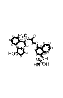 CN(C(=O)COc1ccc(NS(=N)(=O)O)c2ncccc12)C(CN1CC[C@H](O)C1)c1ccccc1